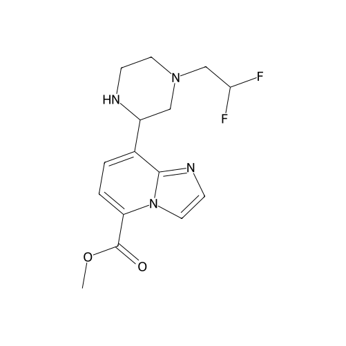 COC(=O)c1ccc(C2CN(CC(F)F)CCN2)c2nccn12